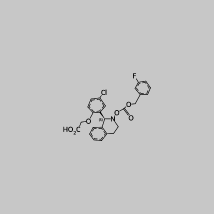 O=C(O)COc1ccc(Cl)cc1[C@@H]1c2ccccc2CCN1OC(=O)OCc1cccc(F)c1